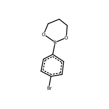 Brc1ccc(B2OCCCO2)cc1